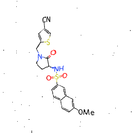 COc1ccc2ccc(S(=O)(=O)N[C@H]3CCN(Cc4cc(C#N)cs4)C3=O)cc2c1